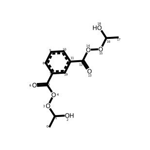 CC(O)OOC(=O)c1cccc(C(=O)OOC(C)O)c1